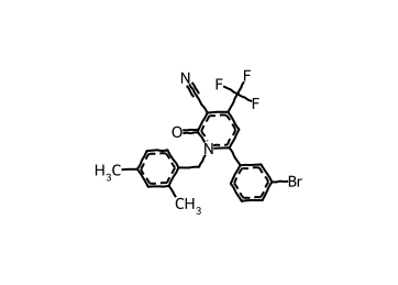 Cc1ccc(Cn2c(-c3cccc(Br)c3)cc(C(F)(F)F)c(C#N)c2=O)c(C)c1